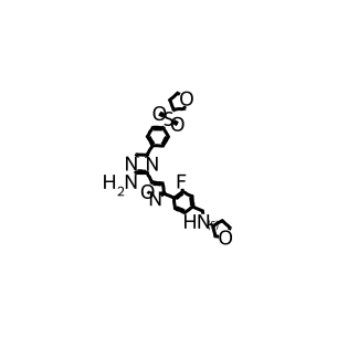 Nc1ncc(-c2ccc(S(=O)(=O)C3CCOC3)cc2)nc1-c1cc(-c2ccc(CN[C@H]3CCOC3)cc2F)no1